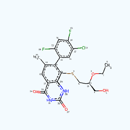 CCO[C@@H](CO)CSc1c(-c2cc(Cl)c(F)cc2F)c(C)cc2c(=O)[nH]c(=O)[nH]c12